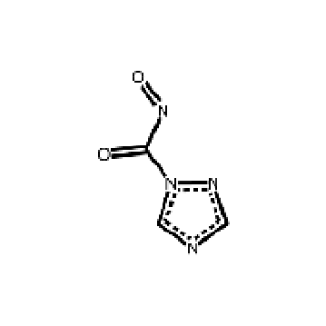 O=NC(=O)n1cncn1